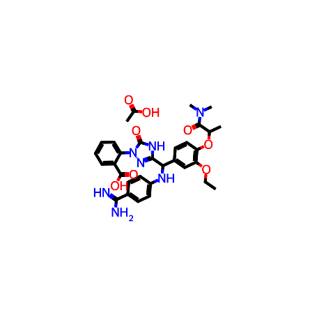 CC(=O)O.CCOc1cc(C(Nc2ccc(C(=N)N)cc2)c2nn(-c3ccccc3C(=O)O)c(=O)[nH]2)ccc1OC(C)C(=O)N(C)C